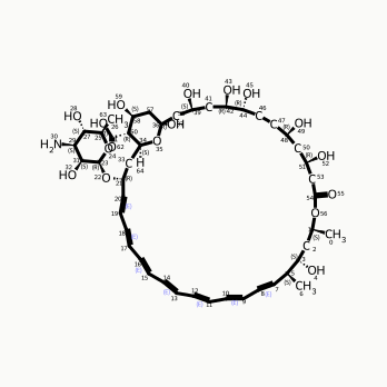 C[C@H]1C[C@H](O)[C@@H](C)/C=C/C=C/C=C/C=C/C=C/C=C/C=C/[C@H](O[C@@H]2O[C@H](C)[C@@H](O)[C@H](N)[C@@H]2O)C[C@@H]2O[C@](O)(C[C@@H](O)C[C@@H](O)[C@H](O)CC[C@@H](O)C[C@@H](O)CC(=O)O1)C[C@H](O)[C@H]2C(=O)O